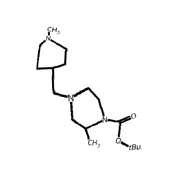 CC1CN(CC2CCN(C)CC2)CCN1C(=O)OC(C)(C)C